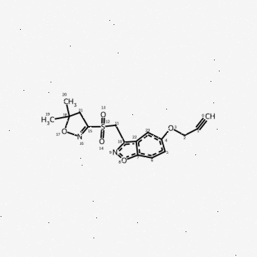 C#CCOc1ccc2onc(CS(=O)(=O)C3=NOC(C)(C)C3)c2c1